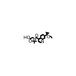 CCOC1(c2ccc3c(C(=O)N(CC(=O)O)C(C)(C)C)ccnc3c2)CC1